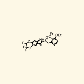 CCOc1ccnc(C[S+]([O-])c2nc3cc4c(cc3[nH]2)OC(F)C(F)(F)O4)c1OCC